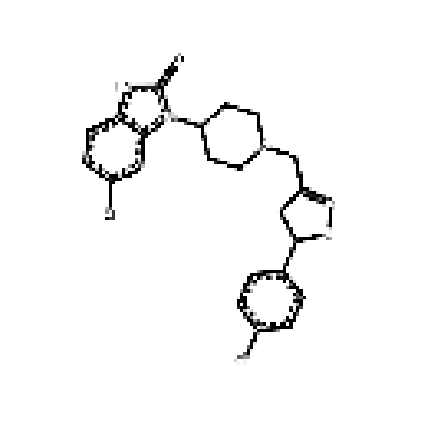 O=c1[nH]c2ccc(Cl)cc2n1C1CCN(CC2=NOC(c3ccc(Cl)cc3)C2)CC1